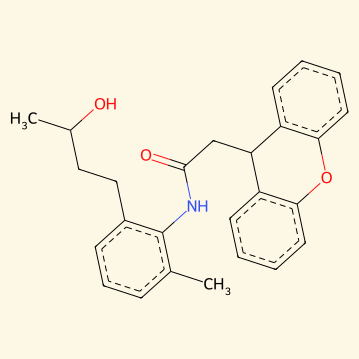 Cc1cccc(CCC(C)O)c1NC(=O)CC1c2ccccc2Oc2ccccc21